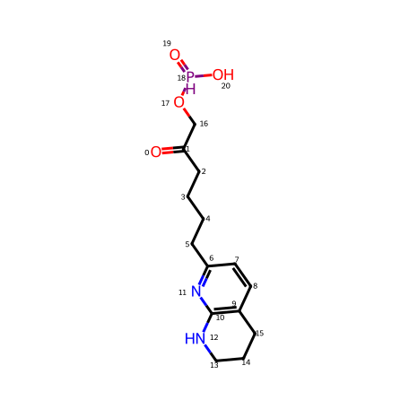 O=C(CCCCc1ccc2c(n1)NCCC2)CO[PH](=O)O